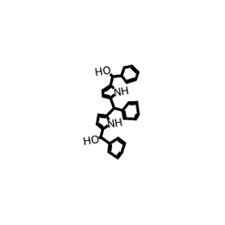 OC(c1ccccc1)c1ccc(C(c2ccccc2)c2ccc(C(O)C3C=CC=CC3)[nH]2)[nH]1